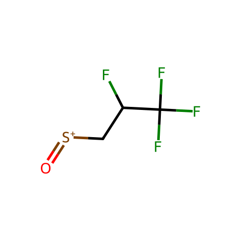 O=[S+]CC(F)C(F)(F)F